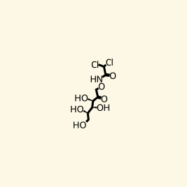 O=C(NOCC(=O)[C@H](O)[C@@H](O)[C@H](O)CO)C(Cl)Cl